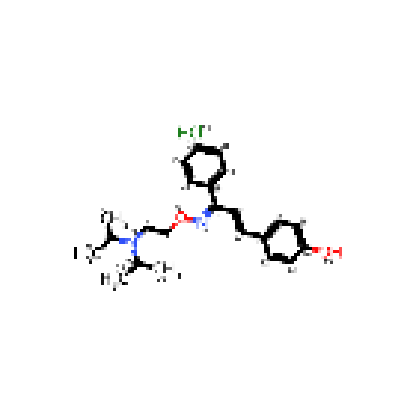 CC(C)N(CCON=C(C=Cc1ccc(O)cc1)c1ccccc1)C(C)C.Cl